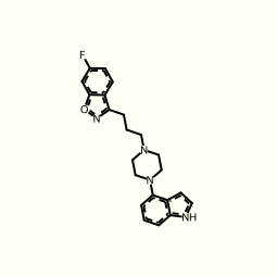 Fc1ccc2c(CCCN3CCN(c4cccc5[nH]ccc45)CC3)noc2c1